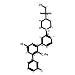 COc1c(-c2cccc(Cl)c2)cc(F)cc1-c1ccnc(N2CCN(C(C)(C)CO)CC2)c1